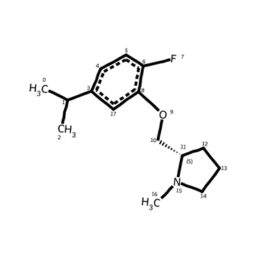 CC(C)c1ccc(F)c(OC[C@@H]2CCCN2C)c1